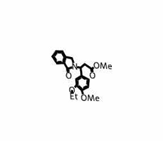 CCOc1cc(C(CC(=O)OC)N2Cc3ccccc3C2=O)ccc1OC